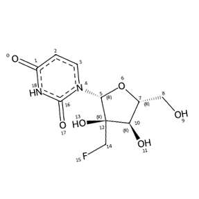 O=c1ccn([C@@H]2O[C@H](CO)[C@@H](O)[C@]2(O)CF)c(=O)[nH]1